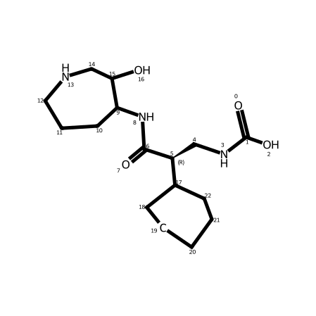 O=C(O)NC[C@H](C(=O)NC1CCCNCC1O)C1CCCCC1